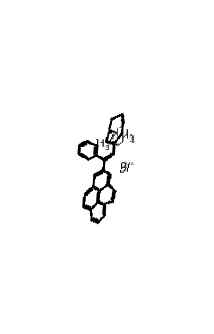 C[N+]1(C)C2CCC1CC(C=C(c1ccccc1)c1cc3ccc4cccc5ccc(c1)c3c45)C2.[Br-]